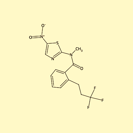 CN(C(=O)c1ccccc1CCC(F)(F)F)c1ncc([N+](=O)[O-])s1